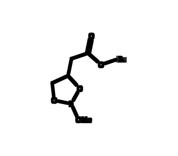 CCC(C)OC(=O)CC1COB(OC)O1